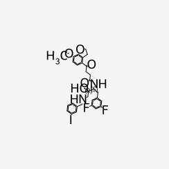 COc1ccc(C(=O)CCC(=O)N[C@@H](Cc2cc(F)cc(F)c2)[C@H](O)CNCc2cccc(I)c2)c2c1OCC2